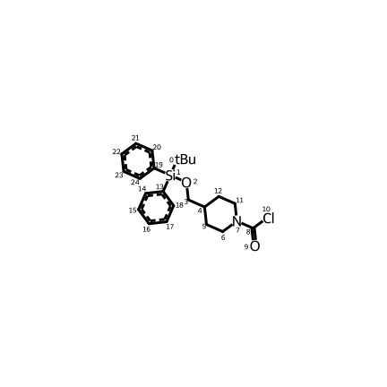 CC(C)(C)[Si](OCC1CCN(C(=O)Cl)CC1)(c1ccccc1)c1ccccc1